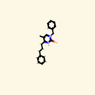 Cc1cn(Cc2ccccc2)c(=O)nc1CCCc1ccccc1